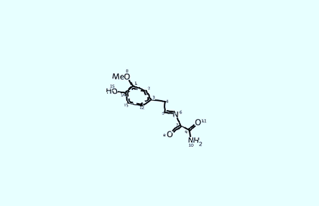 COc1cc(C/C=N/C(=O)C(N)=O)ccc1O